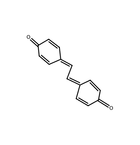 O=C1C=CC(=CC=C2C=CC(=O)C=C2)C=C1